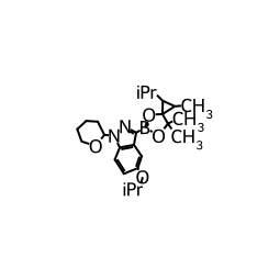 CC(C)Oc1ccc2c(c1)c(B1OC(C)(C)C3(O1)C(C)C3C(C)C)nn2C1CCCCO1